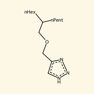 CCCCCCC(CCCCC)COCc1c[nH]nn1